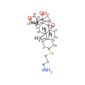 C[C@]12CCC(SCCCN)CC1CC[C@@H]1[C@H]2CC[C@]2(C)C(O)(c3ccoc3)CC3O[C@]312